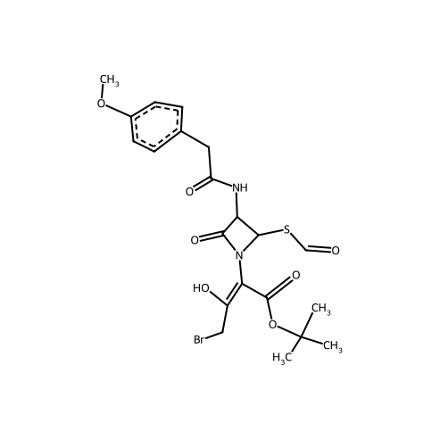 COc1ccc(CC(=O)NC2C(=O)N(C(C(=O)OC(C)(C)C)=C(O)CBr)C2SC=O)cc1